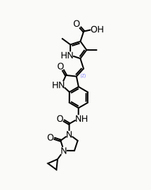 Cc1[nH]c(/C=C2\C(=O)Nc3cc(NC(=O)N4CCN(C5CC5)C4=O)ccc32)c(C)c1C(=O)O